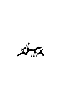 Cc1cc(-c2cnc(C)[nH]2)n(C)n1